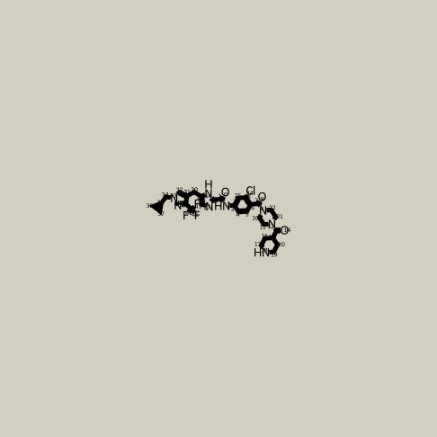 O=C(Nc1ccc(C(=O)N2CCN(C(=O)C3CCNCC3)CC2)c(Cl)c1)c1ncc(Cc2cn(CC3CC3)nc2C(F)(F)F)[nH]1